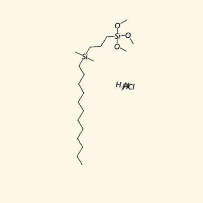 CCCCCCCCCCCC[Si](C)(C)CCC[Si](OC)(OC)OC.Cl.N